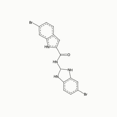 O=C(NC1Nc2ccc(Br)cc2N1)c1cc2ccc(Br)cc2[nH]1